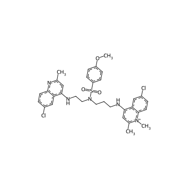 COc1ccc(S(=O)(=O)N(CCCNc2cc(C)[n+](C)c3ccc(Cl)cc23)CCNc2cc(C)nc3ccc(Cl)cc23)cc1